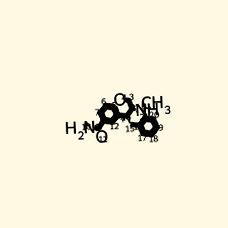 CN[C@H]1COc2ccc(C(N)=O)cc2[C@H]1Cc1ccccc1